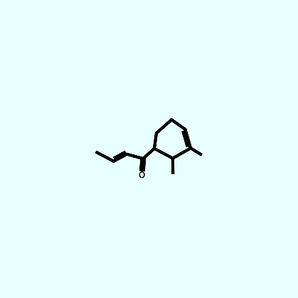 C/C=C/C(=O)C1CCC=C(C)C1C